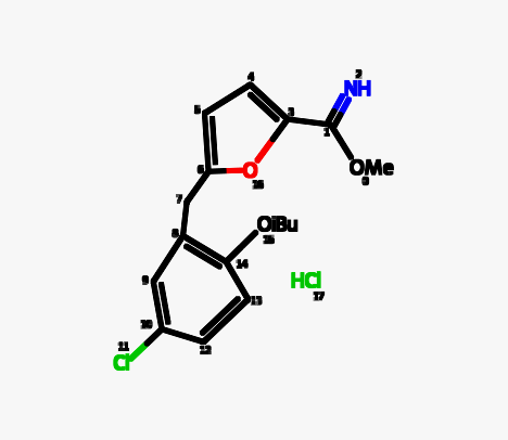 COC(=N)c1ccc(Cc2cc(Cl)ccc2OCC(C)C)o1.Cl